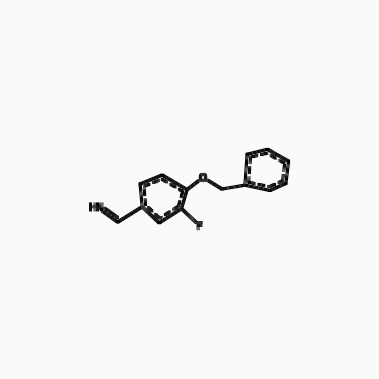 N=Cc1ccc(OCc2ccccc2)c(F)c1